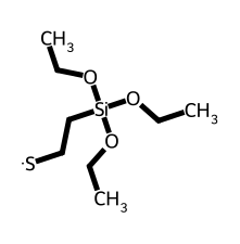 CCO[Si](CC[S])(OCC)OCC